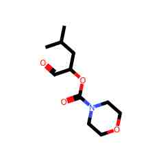 CC(C)CC([C]=O)OC(=O)N1CCOCC1